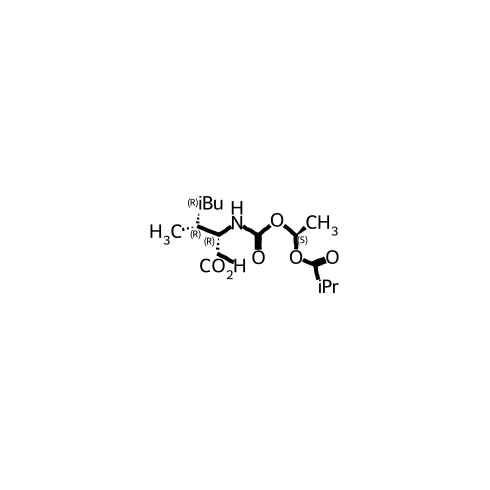 CC[C@@H](C)[C@@H](C)[C@@H](CC(=O)O)NC(=O)O[C@@H](C)OC(=O)C(C)C